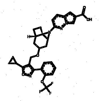 O=C(O)c1cc2ccc(N3C4CC(OCc5c(-c6ccccc6OC(F)(F)F)noc5C5CC5)C[C@@H]5CC[C@@]453)nn2c1